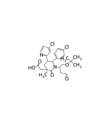 CC(C)(C)OCC(CC=O)N1C(=O)C(C)(CC(=O)O)CC(c2cc(Cl)ccn2)C1c1ccc(Cl)cc1